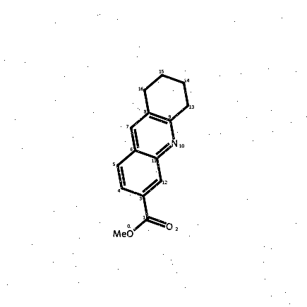 COC(=O)c1ccc2cc3c(nc2c1)CCCC3